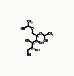 CC(O)OC[C@@H](OC(C)O)[C@@H](O)[C@H](O)[C@H](O)CO